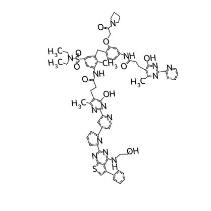 CCN(CC)S(=O)(=O)c1cc(Cc2ccc(NC(=O)CCc3c(C)nc(-c4ccccn4)nc3O)cc2OCC(=O)N2CCCC2)c(C)c(NC(=O)CCc2c(C)nc(-c3cc(-c4cccc(-c5nc(NCCO)c6c(-c7ccccc7)csc6n5)n4)ccn3)nc2O)c1